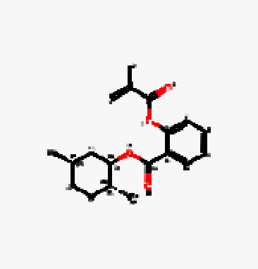 C=C(C)C(=O)Oc1ccccc1C(=O)O[C@@H]1C[C@H](C)CC[C@H]1C(C)C